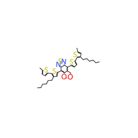 CCCCCCc1cc(C)sc1-c1ccc(-c2c(C=O)c(OC)c(-c3cc(CCCCCC)c(-c4ccc(C)s4)s3)c3nsnc23)s1